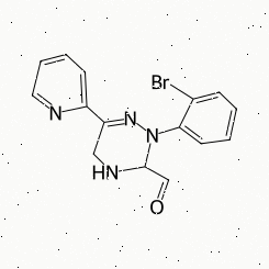 O=CC1NCC(c2ccccn2)=NN1c1ccccc1Br